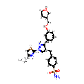 NS(=O)(=O)c1ccc(Cc2cn(-c3nc(C(=O)O)cs3)nc2-c2cccc(OCC3CCOC3)c2)cc1